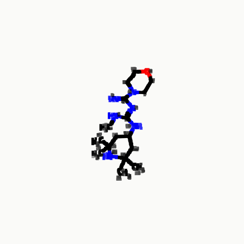 CN/C(=N\C(=N)N1CCOCC1)NC1CC(C)(C)NC(C)(C)C1